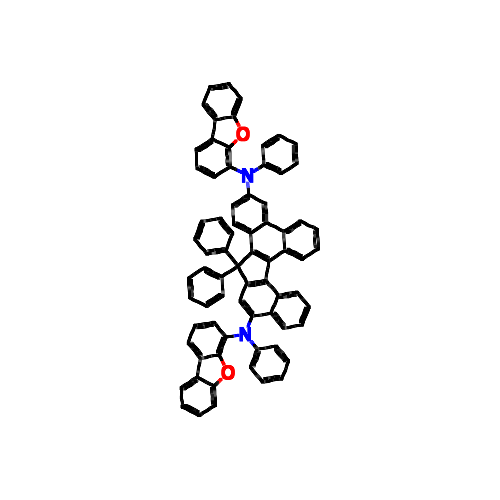 c1ccc(N(c2ccc3c4c(c5ccccc5c3c2)-c2c(cc(N(c3ccccc3)c3cccc5c3oc3ccccc35)c3ccccc23)C4(c2ccccc2)c2ccccc2)c2cccc3c2oc2ccccc23)cc1